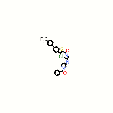 O=C(c1ccccc1)N1CC[C@H](NC2CN(C(=O)c3sc4cc(-c5ccc(C(F)(F)F)cc5)ccc4c3Cl)C2)C1